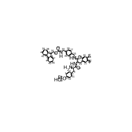 CCOc1ccc(CC(N)C(=O)NC(Cc2ccc(F)c(F)c2)C(=O)NCc2ccc(CNC(=O)OCC3c4ccccc4-c4ccccc43)cc2)cc1.Cl